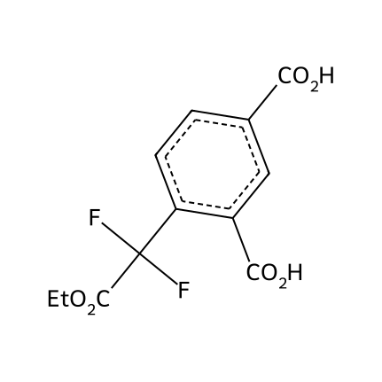 CCOC(=O)C(F)(F)c1ccc(C(=O)O)cc1C(=O)O